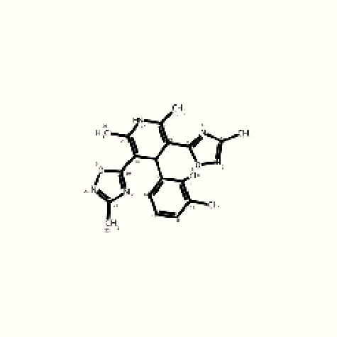 CC1=C(c2nc(C)no2)C(c2cccc(Cl)c2Cl)C(c2nc(C)no2)=C(C)N1